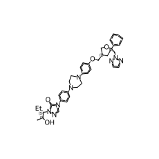 CC[C@@H]([C@H](C)O)n1ncn(-c2ccc(N3CCN(c4ccc(OC[C@H]5CO[C@](Cn6nccn6)(c6ccccc6)C5)cc4)CC3)cc2)c1=O